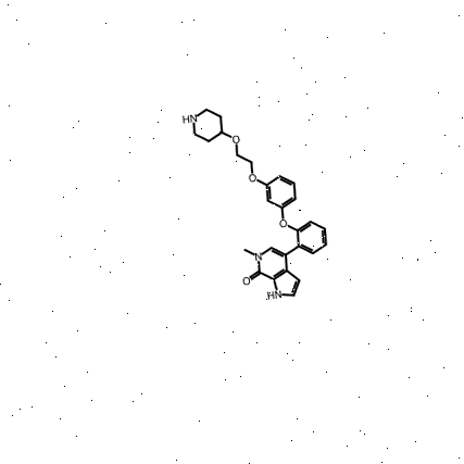 Cn1cc(-c2ccccc2Oc2cccc(OCCOC3CCNCC3)c2)c2cc[nH]c2c1=O